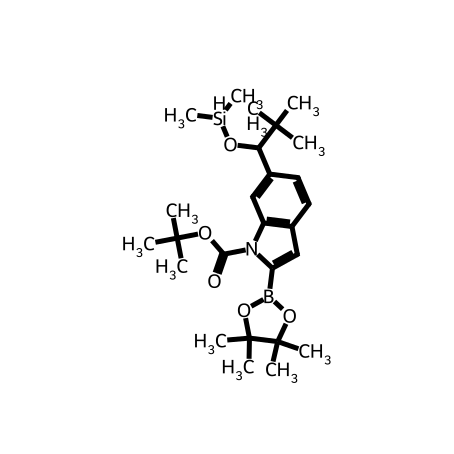 C[SiH](C)OC(c1ccc2cc(B3OC(C)(C)C(C)(C)O3)n(C(=O)OC(C)(C)C)c2c1)C(C)(C)C